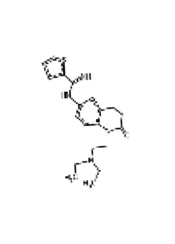 CCN(CC)CCN1C(=O)CCc2cc(NC(=N)c3cccs3)ccc21